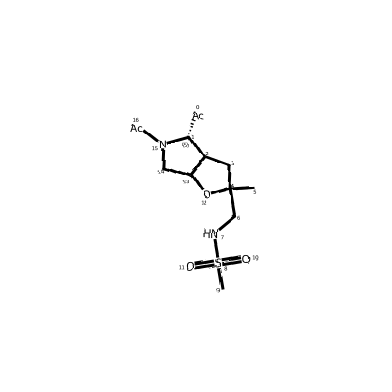 CC(=O)[C@@H]1C2CC(C)(CNS(C)(=O)=O)OC2CN1C(C)=O